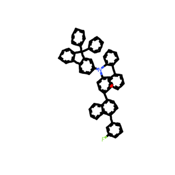 Fc1cccc(-c2ccc(-c3ccc(N(c4ccc5c(c4)C(c4ccccc4)(c4ccccc4)c4ccccc4-5)c4ccccc4-c4ccccc4)cc3)c3ccccc23)c1